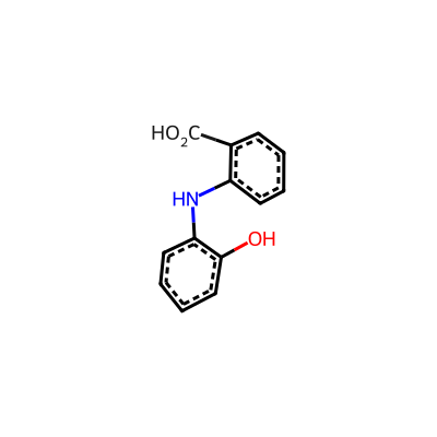 O=C(O)c1ccccc1Nc1ccccc1O